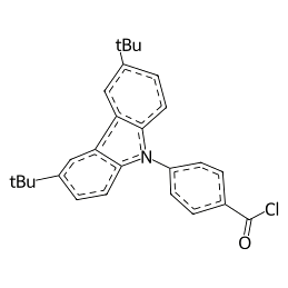 CC(C)(C)c1ccc2c(c1)c1cc(C(C)(C)C)ccc1n2-c1ccc(C(=O)Cl)cc1